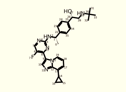 C[C@H](Nc1ncc(F)c(-c2cnc3c(C4CC4)cccn23)n1)c1ccc([C@H](O)CNC(C)(C)C)cc1